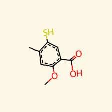 COc1cc(C)c(S)cc1C(=O)O